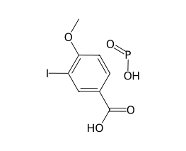 COc1ccc(C(=O)O)cc1I.O=PO